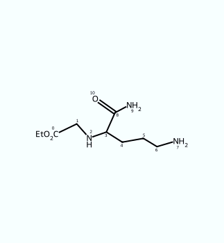 CCOC(=O)CNC(CCCN)C(N)=O